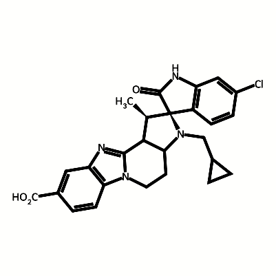 C[C@@H]1C2c3nc4cc(C(=O)O)ccc4n3CCC2N(CC2CC2)[C@]12C(=O)Nc1cc(Cl)ccc12